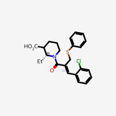 CC[C@@H]1C(C(=O)O)CCCN1C(=O)/C(=C/c1ccccc1Cl)CSc1ccccc1